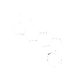 CCc1ccc(Cc2cc3c(cc2C#N)CO[C@@]32C[C@@H](O)C[C@@H](C)O2)s1